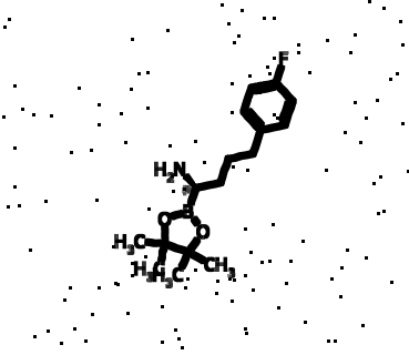 CC1(C)OB([C@@H](N)CCCc2ccc(F)cc2)OC1(C)C